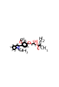 C=C(C)C(=O)OCC(O)COc1ccc(-c2cc3ccccc3n2C)c(OC)c1